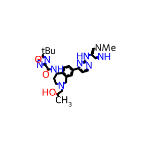 CN/C=C(\C=N)Nc1nccc(-c2ccc3c(c2)CN(CC(C)O)CCC3NC(=O)c2noc(C(C)(C)C)n2)n1